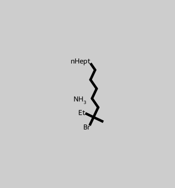 CCCCCCCCCCCCC(C)(Br)CC.N